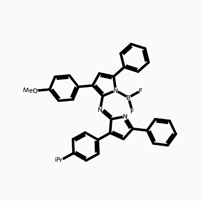 COc1ccc(-c2cc(-c3ccccc3)n(B(F)F)c2/N=C2\N=C(c3ccccc3)C=C2c2ccc(C(C)C)cc2)cc1